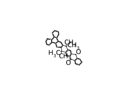 CC1(C)c2cc3c(cc2C(C)(C)c2cc4c5ccccc5c5ccccc5c4cc21)C(=O)c1ccccc1C3=O